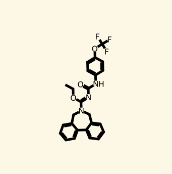 CCOC(=NC(=O)Nc1ccc(OC(F)(F)F)cc1)N1Cc2ccccc2-c2ccccc2C1